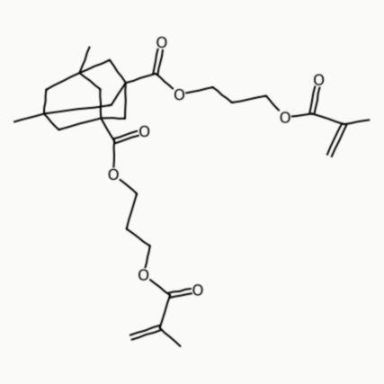 C=C(C)C(=O)OCCCOC(=O)C12CC3(C)CC(C)(C1)CC(C(=O)OCCCOC(=O)C(=C)C)(C3)C2